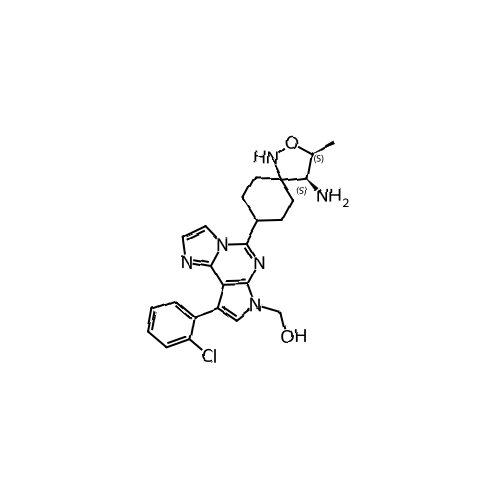 C[C@@H]1ONC2(CCC(c3nc4c(c(-c5ccccc5Cl)cn4CO)c4nccn34)CC2)[C@@H]1N